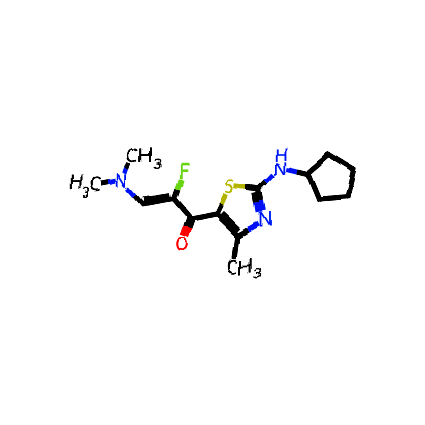 Cc1nc(NC2CCCC2)sc1C(=O)/C(F)=C/N(C)C